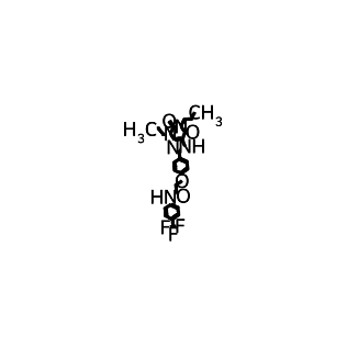 CCCn1c(=O)c2[nH]c(-c3ccc(OCC(=O)Nc4ccc(C(F)(F)F)cc4)cc3)nc2n(CCC)c1=O